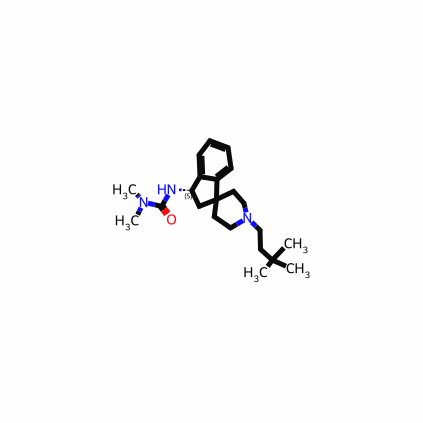 CN(C)C(=O)N[C@H]1CC2(CCN(CCC(C)(C)C)CC2)c2ccccc21